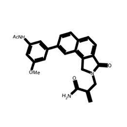 C=C(CN1Cc2c(ccc3ccc(-c4cc(NC(C)=O)cc(OC)c4)cc23)C1=O)C(N)=O